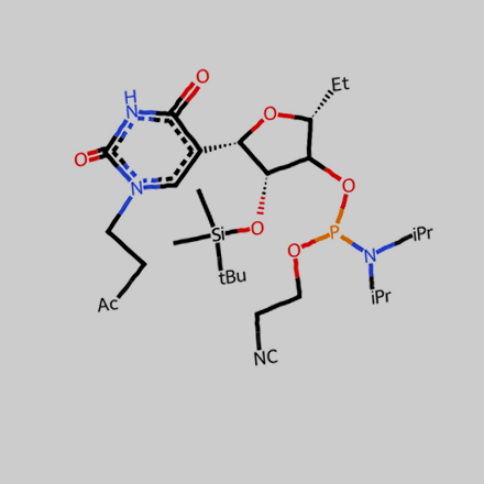 [C-]#[N+]CCOP(OC1[C@@H](CC)O[C@@H](c2cn(CCC(C)=O)c(=O)[nH]c2=O)[C@H]1O[Si](C)(C)C(C)(C)C)N(C(C)C)C(C)C